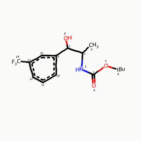 CC(NC(=O)OC(C)(C)C)C(O)c1cccc(C(F)(F)F)c1